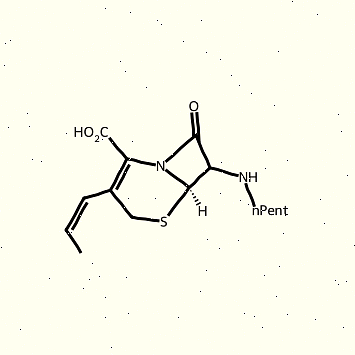 C/C=C\C1=C(C(=O)O)N2C(=O)C(NCCCCC)[C@H]2SC1